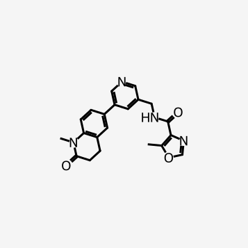 Cc1ocnc1C(=O)NCc1cncc(-c2ccc3c(c2)CCC(=O)N3C)c1